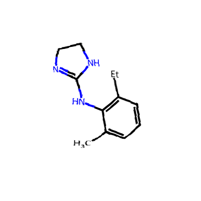 CCc1cccc(C)c1NC1=NCCN1